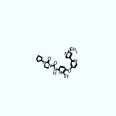 CCc1nc(NC(=O)N2CCN(C3CCCC3)C2=O)ccc1Oc1ccnc(-c2cnn(C)c2)c1